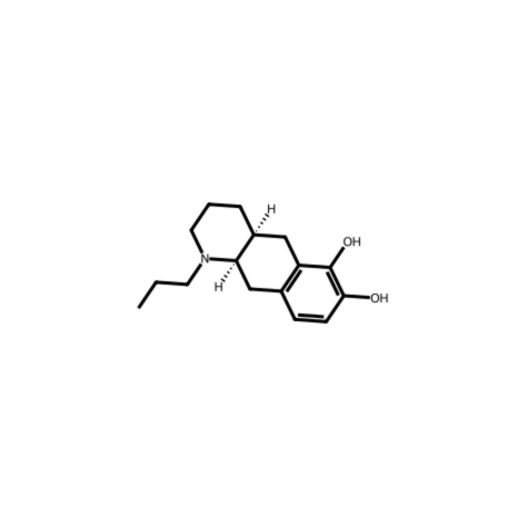 CCCN1CCC[C@H]2Cc3c(ccc(O)c3O)C[C@H]21